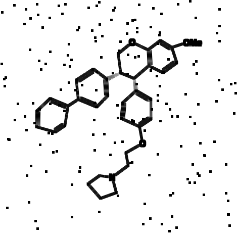 COc1ccc2c(c1)OC[C@@H](c1ccc(-c3ccccc3)cc1)[C@H]2c1ccc(OCCN2CCCC2)cc1